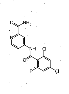 NC(=O)c1cc(NC(=O)c2c(F)cc(Cl)cc2Cl)ccn1